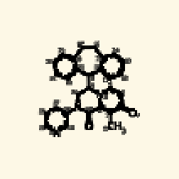 Cc1c2n(ccc1=O)C(C1c3ccccc3CCc3ccccc31)CN(c1cccnc1)C2=O